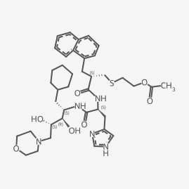 CC(=O)OCCSC[C@@H](Cc1cccc2ccccc12)C(=O)N[C@@H](Cc1c[nH]cn1)C(=O)N[C@@H](CC1CCCCC1)[C@@H](O)[C@@H](O)CN1CCOCC1